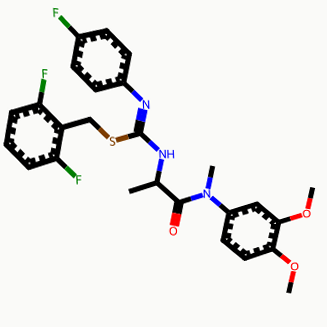 COc1ccc(N(C)C(=O)C(C)NC(=Nc2ccc(F)cc2)SCc2c(F)cccc2F)cc1OC